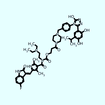 CCN(CC)CCN(C(=O)OCCC(=O)N1CCN(Cc2ccc(-n3c(O)nnc3-c3cc(C(C)C)c(O)cc3O)cc2)CC1)C(=O)c1c(C)[nH]c(/C=C2\C(=O)Nc3ccc(F)cc32)c1C